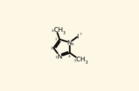 Cc1cnc(C)n1I